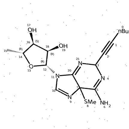 CCCCC#CC1N=C(N)C2(SC)N=CN([C@@H]3O[C@H](C)[C@@H](O)[C@H]3O)C2=N1